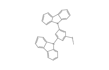 ISc1cc(-n2c3ccccc3c3ccccc32)cc(-n2c3ccccc3c3ccccc32)c1